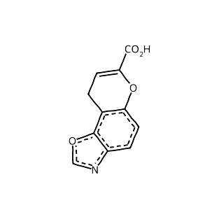 O=C(O)C1=CCc2c(ccc3ncoc23)O1